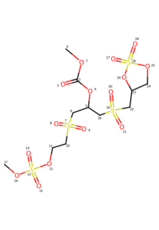 COC(=O)OC(CS(=O)(=O)CCOS(=O)(=O)OC)CS(=O)(=O)CC1COS(=O)(=O)O1